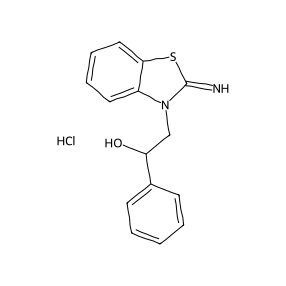 Cl.N=c1sc2ccccc2n1CC(O)c1ccccc1